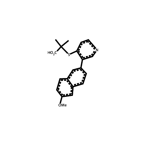 COc1ccc2cc(-c3cnccc3SC(C)(C)C(=O)O)ccc2c1